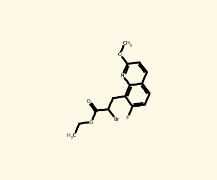 CCOC(=O)C(Br)Cc1c(F)ccc2ccc(OC)nc12